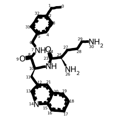 CCc1ccc(CNC(=O)[C@H](Cc2cnc3ccccc3c2)NC(=O)[C@H](N)CCCN)cc1